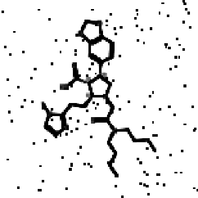 CCCCN(CCCC)C(=O)CN1C[C@H](c2ccc3c(c2)OCO3)[C@@H](C(=O)O)[C@@H]1CCc1nccn1C